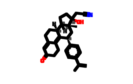 C=C(C)c1ccc([C@H]2C[C@@]3(C)[C@@H](CC[C@]3(O)CC#N)[C@@H]3CCC4=CC(=O)CCC4=C32)cc1